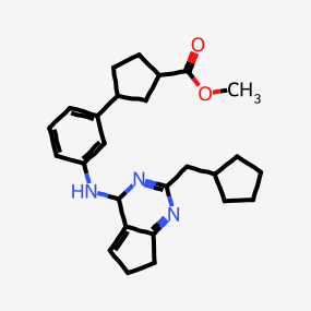 COC(=O)C1CCC(c2cccc(NC3N=C(CC4CCCC4)N=C4CCC=C43)c2)C1